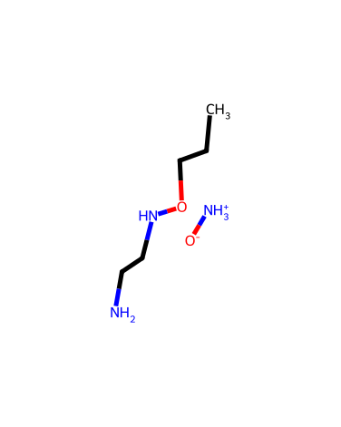 CCCONCCN.[NH3+][O-]